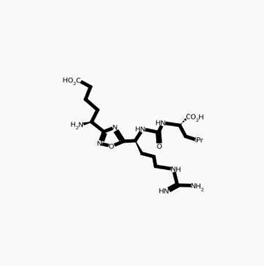 CC(C)C[C@H](NC(=O)N[C@@H](CCCNC(=N)N)c1nc([C@@H](N)CCCC(=O)O)no1)C(=O)O